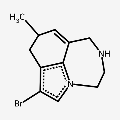 CC1C=C2CNCCn3cc(Br)c(c32)C1